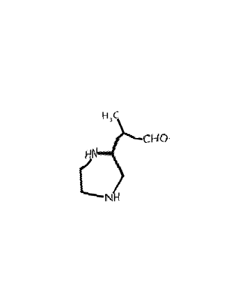 CC([C]=O)C1CNCCN1